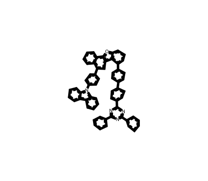 c1ccc(-c2nc(-c3ccccc3)nc(-c3ccc(-c4ccc(-c5cccc6oc7c8ccccc8c(-c8ccc(-n9c%10ccccc%10c%10ccccc%109)cc8)cc7c56)cc4)cc3)n2)cc1